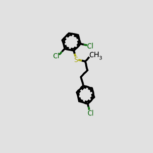 CC(CCc1ccc(Cl)cc1)Sc1c(Cl)cccc1Cl